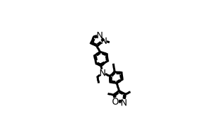 CCN(c1ccc(-c2ccnn2C)cc1)c1cc(-c2c(C)noc2C)ccc1C